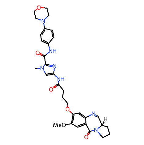 COc1cc2c(cc1OCCCC(=O)Nc1cn(C)c(C(=O)Nc3ccc(N4CCOCC4)cc3)n1)N=C[C@@H]1CCCN1C2=O